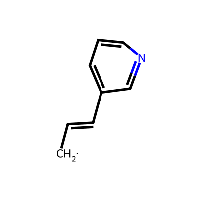 [CH2]C=Cc1cccnc1